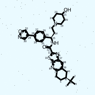 CC(C)(C)[C@H]1CCc2nc3sc(C(=O)N[C@H](CCN4CCC(O)CC4)c4ccc(-c5cnoc5)cc4)nc3cc2C1